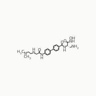 CN(C)CCNCC(=O)Nc1ccc(-c2ccc(C(=O)N[C@@H](CN)C(=O)NO)cc2)cc1